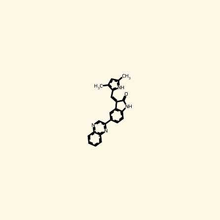 Cc1cc(C)c(/C=C2\C(=O)Nc3ccc(-c4cnc5ccccc5n4)cc32)[nH]1